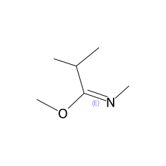 C/N=C(/OC)C(C)C